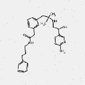 CC(C)(Cc1cccc(CC(=O)NCCCc2ccccc2)c1)NC[C@@H](O)c1ccc(N)nc1